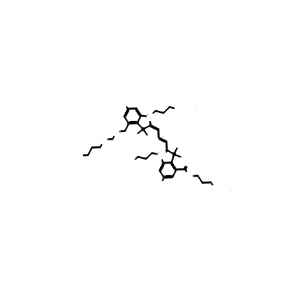 CC1(C)C(/C=C/C=C2/N(CCCS(=O)(=O)O)c3cc(C(=O)O)cc(COCOCCCS(=O)(=O)O)c3C2(C)C)=[N+](CCCS(=O)(=O)O)c2cc(S(=O)(=O)O)cc(C(=O)OCCCS(=O)(=O)O)c21